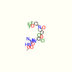 CCOC(=O)NC(=O)C(C#N)=NNc1cc(Cl)c(Oc2ccc3c(c2)CCN(Cc2cccc(OC(F)(F)F)c2)C3=O)c(Cl)c1